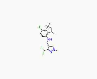 CC1CC(C)(C)c2c(F)ccc(NCc3cn(C)nc3C(F)F)c21